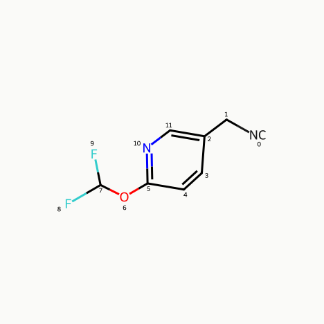 [C-]#[N+]Cc1ccc(OC(F)F)nc1